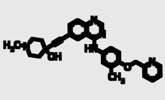 Cc1cc(Nc2ncnc3ccc(C#CC4(O)CCN(C)CC4)cc23)ccc1OCc1ccccn1